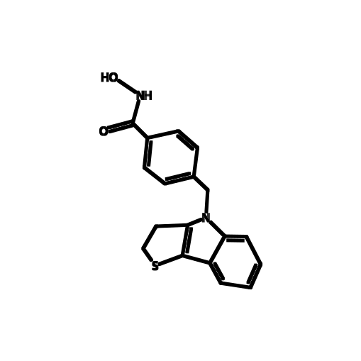 O=C(NO)c1ccc(Cn2c3c(c4ccccc42)SCC3)cc1